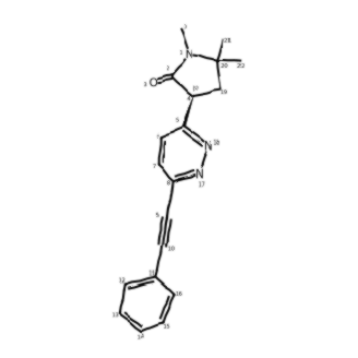 CN1C(=O)[C@H](c2ccc(C#Cc3ccccc3)nn2)CC1(C)C